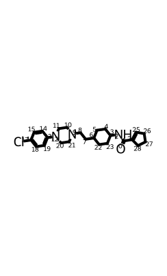 O=C(NC1CCC(CCN2CCN(c3ccc(Cl)cc3)CC2)CC1)C1=CCCC1